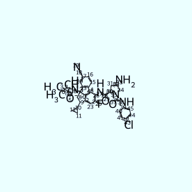 CC(C)(C)[S@@+]([O-])NC(CCC1CC1)(c1cccc(C#N)c1)c1ccc(F)c(NC(=O)[C@H]2C[C@H](N)CN2C(=O)Nc2ccc(Cl)cc2)c1